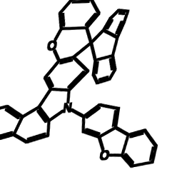 c1ccc2c(c1)Oc1cc3c4c5ccccc5ccc4n(-c4ccc5c(c4)oc4ccccc45)c3cc1C21c2ccccc2-c2ccccc21